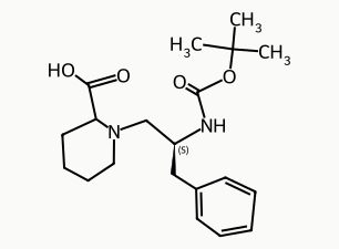 CC(C)(C)OC(=O)N[C@@H](Cc1ccccc1)CN1CCCCC1C(=O)O